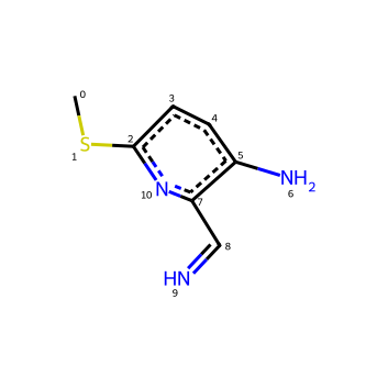 CSc1ccc(N)c(C=N)n1